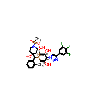 CS(=O)(=O)N1CCC(O)([C@H](c2ccccc2C(F)(F)F)[SH]2C[C@H](O)[C@H](n3cc(-c4cc(F)c(F)c(F)c4)nn3)[C@@H](O)[C@H]2CO)CC1